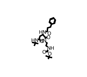 CC(C)(C)NC(=O)CC(NC(=O)CCc1ccccc1)C(=O)NCCNC(=O)OC(C)(C)C